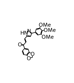 COc1cc(-c2cc(C=CC(=O)c3ccc4c(c3)OCO4)[nH]n2)cc(OC)c1OC